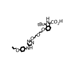 C=CCOc1ccc(Nc2cnc(OCCOCCOc3cccc4c3C(C(C)(C)C)NC4C(=O)O)nc2)cc1